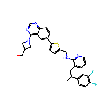 CC(Cc1cccnc1NCc1ccc(-c2ccc3ncnc(N4CC(CO)C4)c3c2)s1)c1ccc(F)c(F)c1